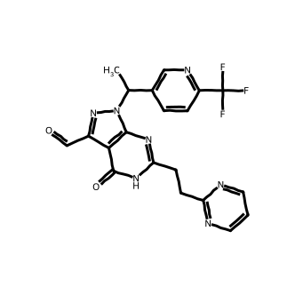 CC(c1ccc(C(F)(F)F)nc1)n1nc(C=O)c2c(=O)[nH]c(CCc3ncccn3)nc21